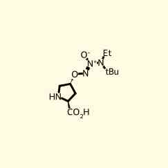 CCN(/[N+]([O-])=N/O[C@H]1CN[C@H](C(=O)O)C1)C(C)(C)C